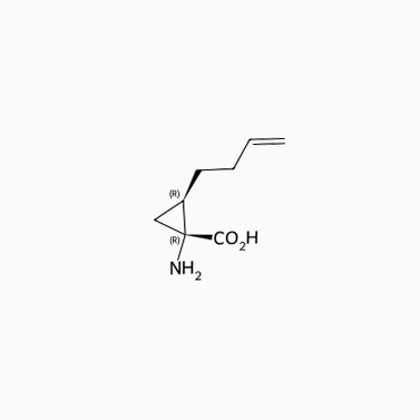 C=CCC[C@@H]1C[C@]1(N)C(=O)O